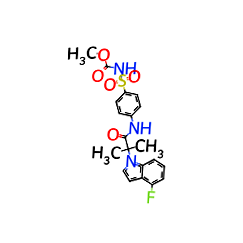 COC(=O)NS(=O)(=O)c1ccc(NC(=O)C(C)(C)n2ccc3c(F)cccc32)cc1